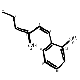 CC/C=C(O)\C=C/c1ccccc1O